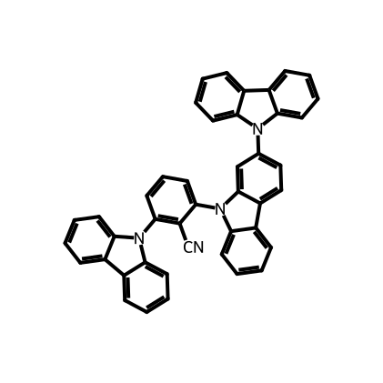 N#Cc1c(-n2c3ccccc3c3ccccc32)cccc1-n1c2ccccc2c2ccc(-n3c4ccccc4c4ccccc43)cc21